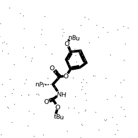 CCCCOc1cccc(OC(=O)[C@@H](CCC)NC(=O)OC(C)(C)C)c1